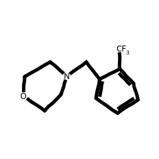 FC(F)(F)c1ccccc1CN1CCOCC1